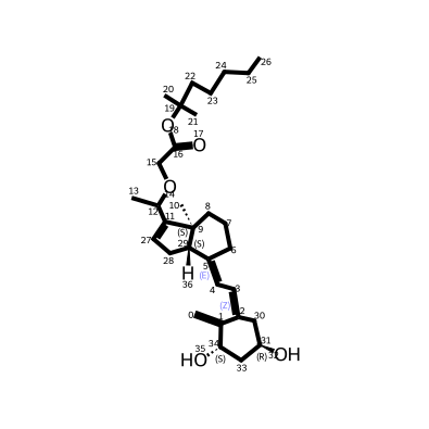 C=C1/C(=C\C=C2/CCC[C@]3(C)C(C(C)OCC(=O)OC(C)(C)CCCCC)=CC[C@@H]23)C[C@@H](O)C[C@@H]1O